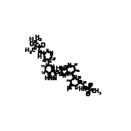 CC(C)(C)C(=O)Nc1cncc(-c2ccc3[nH]nc(-c4nc5c(-c6cc(F)cc(CNS(C)(=O)=O)c6)ccnc5[nH]4)c3n2)c1